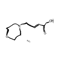 Cl.O=C(O)C=CCN1CCOCC1